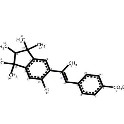 CCOC(=O)c1ccc(/C=C(\C)c2cc3c(cc2CC)C(C)(C)C(C)C3(C)C)cc1